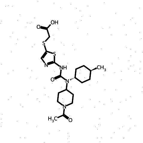 CC(=O)N1CCC(N(C(=O)Nc2ncc(SCC(=O)O)s2)[C@H]2CC[C@H](C)CC2)CC1